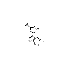 CCc1c(C(CC)NC(=O)C2CC2)c[nH]c1C